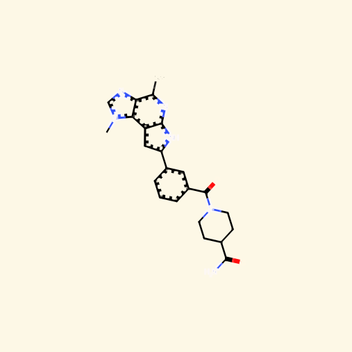 CNc1nc2[nH]c(-c3cccc(C(=O)N4CCC(C(N)=O)CC4)c3)cc2c2c1ncn2C